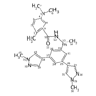 Cc1ccc(N(C)C)cc1C(=O)N[C@H](C)c1cc(-c2cnn(C)c2)cc(-c2cnn(C)c2)c1